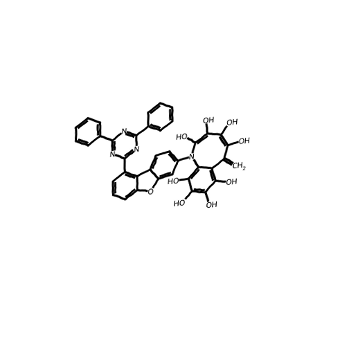 C=C1/C(O)=C(O)\C(O)=C(\O)N(c2ccc3c(c2)oc2cccc(-c4nc(-c5ccccc5)nc(-c5ccccc5)n4)c23)c2c(O)c(O)c(O)c(O)c21